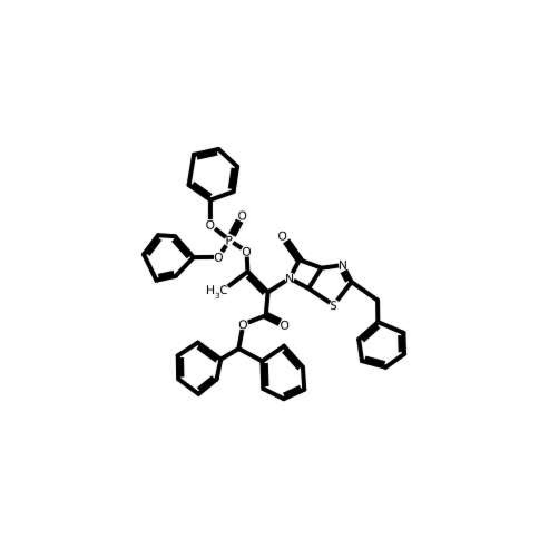 CC(OP(=O)(Oc1ccccc1)Oc1ccccc1)=C(C(=O)OC(c1ccccc1)c1ccccc1)N1C(=O)C2N=C(Cc3ccccc3)SC21